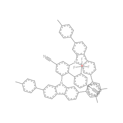 Cc1ccc(-c2ccc3c4ccc(-c5ccc(C)cc5)cc4n(-c4cc(C#N)cc(-n5c6cc(-c7ccc(C)cc7)ccc6c6ccc(-c7ccc(C)cc7)cc65)c4-c4ccc(C#N)cc4C(F)(F)F)c3c2)cc1